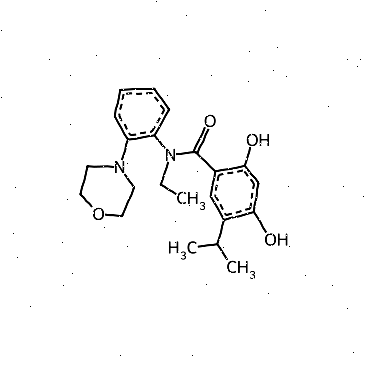 CCN(C(=O)c1cc(C(C)C)c(O)cc1O)c1ccccc1N1CCOCC1